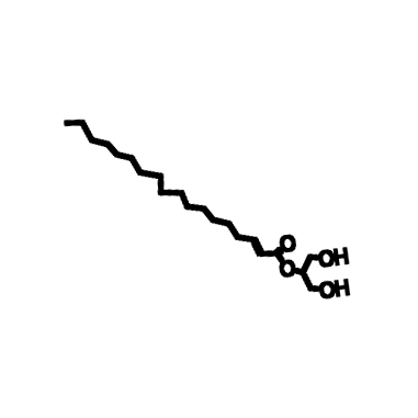 CCCCCCCCCCCCCCCC=CC(=O)OC(CO)CO